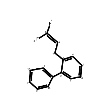 FC(F)=CCc1ccccc1-c1ccccc1